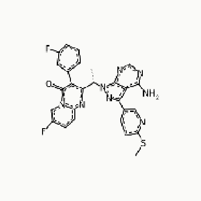 CSc1ccc(-c2nn([C@@H](C)c3nc4ccc(F)cn4c(=O)c3-c3cccc(F)c3)c3ncnc(N)c23)cn1